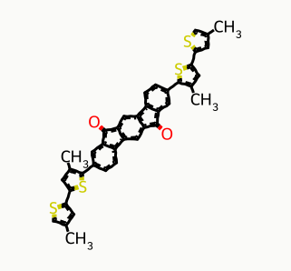 Cc1csc(-c2cc(C)c(-c3ccc4c(c3)c(=O)c3cc5c(cc34)c(=O)c3cc(-c4sc(-c6cc(C)cs6)cc4C)ccc35)s2)c1